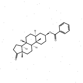 C[C@]12CC[C@H](OC(=O)c3ccccc3)C[C@@H]1CC[C@@H]1[C@@H]2CC[C@]2(C)C(=O)CC[C@@H]12